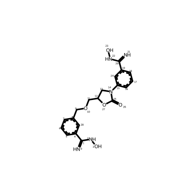 N=C(NO)c1cccc(COCC2CN(c3cccc(C(=N)NO)c3)C(=O)O2)c1